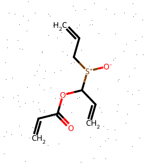 C=CC[S+]([O-])C(C=C)OC(=O)C=C